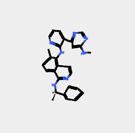 CNc1cc(-c2cccnc2Nc2c(C)ccc3c(N[C@@H](C)c4ccccc4)nccc23)ncn1